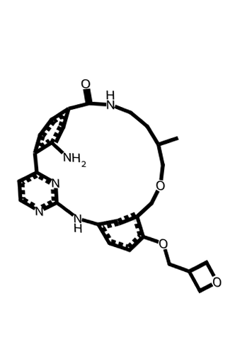 CC1CCNC(=O)c2ccc(c(N)c2)-c2ccnc(n2)Nc2ccc(OCC3COC3)c(c2)COC1